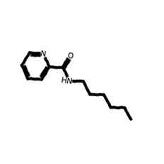 CCCCCCNC(=O)c1ccccn1